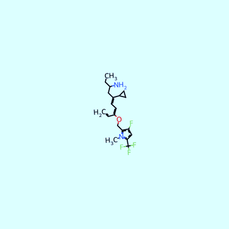 C=C/C(=C\C=C(\CC(N)CC)C1CC1)OCc1c(F)cc(C(F)(F)F)n1C